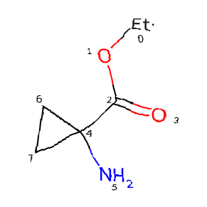 C[CH]OC(=O)C1(N)CC1